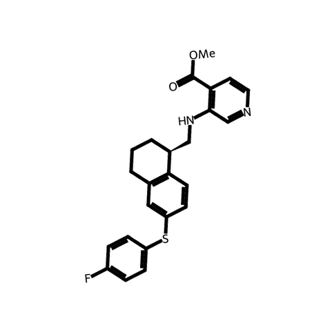 COC(=O)c1ccncc1NC[C@@H]1CCCc2cc(Sc3ccc(F)cc3)ccc21